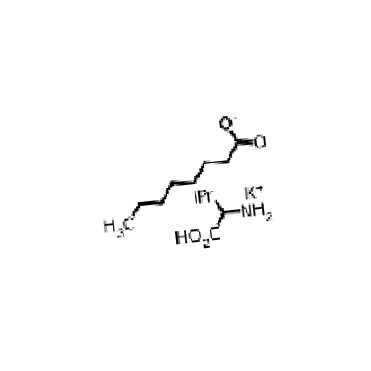 CC(C)C(N)C(=O)O.CCCCCCCC(=O)[O-].[K+]